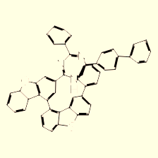 C1=CC2Oc3cc(C4=NC(c5ccccc5)=NC(c5ccc(-c6ccccc6)cc5)=CN4)cc(-c4cccc5sc6ccc(-c7ccccc7)cc6c45)c3C2C=C1